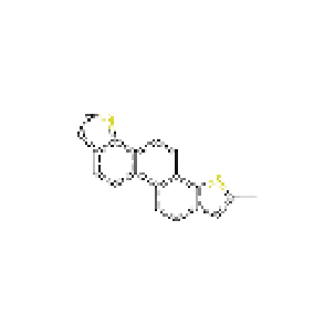 Cc1cc2ccc3c4ccc5ccsc5c4ccc3c2s1